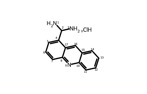 Cl.NC(N)c1cccc2nc3ccccc3cc12